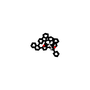 c1ccc(-c2nc(-c3ccccc3)nc(-c3ccc(-c4ccc5ccccc5c4-c4ccc5c(c4)C4(c6ccccc6-5)c5ccccc5-n5c6ccccc6c6cccc4c65)cc3)n2)cc1